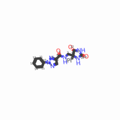 CC(C)C1(CNC(=O)c2cnn(-c3ccccc3)n2)NC(=O)NC1=O